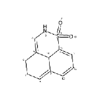 O=S1(=O)NC=C2CCC=C3C=CC=C1C32